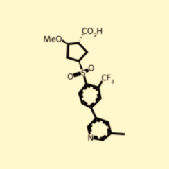 CO[C@@H]1C[C@H](S(=O)(=O)c2ccc(-c3cncc(C)c3)cc2C(F)(F)F)C[C@H]1C(=O)O